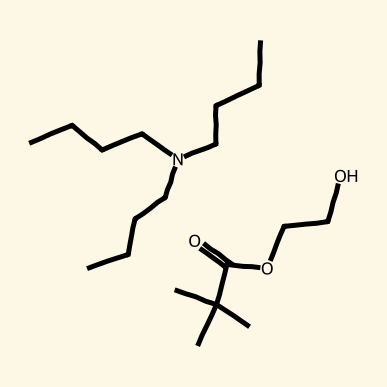 CC(C)(C)C(=O)OCCO.CCCCN(CCCC)CCCC